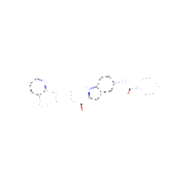 CC(C)Nc1cccnc1N1CCN(C(=O)c2cc3cc(NC(=O)N4CCNCC4)ccc3[nH]2)CC1